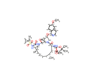 COC[C@@H]1C[C@H](C)CCCC[C@H]2C[C@@]2(C(=O)NS(=O)(=O)C2(C)CC2)NC(=O)[C@@H]2C[C@@H](Oc3nccc4cc(OC)ccc34)CN2C(=O)[C@H]1NC(=O)OC(C)(C)C